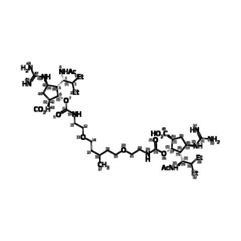 CCC(CC)[C@@H](NC(C)=O)[C@@H]1[C@H](OC(=O)NCCOCCC(C)CCOCCNC(=O)O[C@H]2[C@@H]([C@H](NC(C)=O)C(CC)CC)[C@H](NC(=N)N)C[C@@H]2C(=O)O)[C@@H](C(=O)O)C[C@H]1NC(=N)N